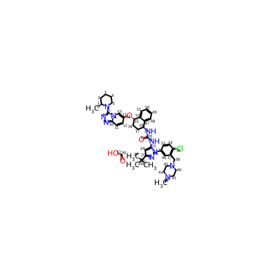 C[C@H]1CCCCN1c1nnc2ccc(O[C@@H]3CC[C@H](NC(=O)Nc4cc(C(C)(C)C)nn4-c4ccc(Cl)c(CN5CCN(C)CC5)c4)c4ccccc43)cn12.O=CO